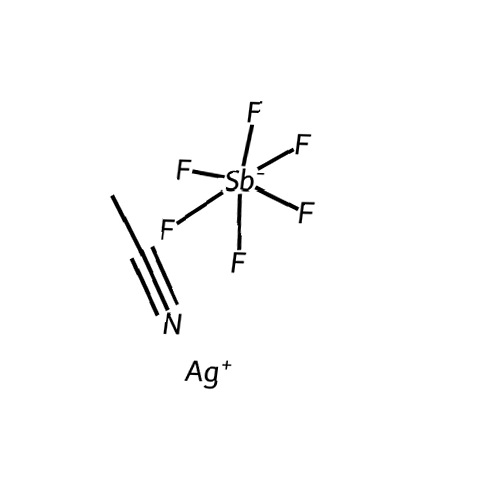 CC#N.[Ag+].[F][Sb-]([F])([F])([F])([F])[F]